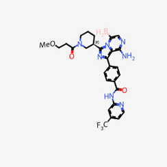 Bc1cnc(N)c2c(-c3ccc(C(=O)Nc4cc(C(F)(F)F)ccn4)cc3)nc([C@@H]3CCCN(C(=O)CCOC)C3)n12